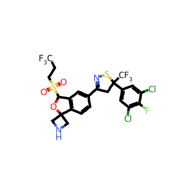 O=S(=O)(CCC(F)(F)F)C1OC2(CNC2)c2ccc(C3=NSC(c4cc(Cl)c(F)c(Cl)c4)(C(F)(F)F)C3)cc21